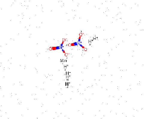 O=[N+]([O-])[O-].O=[N+]([O-])[O-].[H+].[H+].[H+].[H+].[H+].[H+].[Mn]